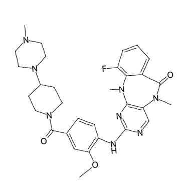 COc1cc(C(=O)N2CCC(N3CCN(C)CC3)CC2)ccc1Nc1ncc2c(n1)N(C)c1c(F)cccc1C(=O)N2C